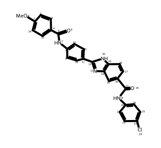 COc1ccc(C(=O)Nc2ccc(-c3nc4cc(C(=O)Nc5ccc(Cl)cc5)ccc4[nH]3)cc2)cc1